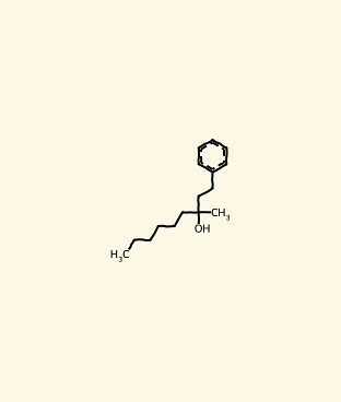 CCCCCCC(C)(O)CCc1ccccc1